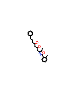 Cc1ccccc1-c1nc(CC(=O)CC(=O)CCCc2ccccc2)c(C)o1